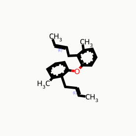 C/C=C/Cc1c(C)cccc1Oc1cccc(C)c1C/C=C/C